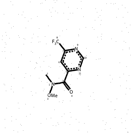 CON(C)C(=O)c1cc(C(F)(F)F)ncn1